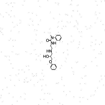 CN(C(=O)NCCNCC(O)COc1ccccc1)c1ccccc1